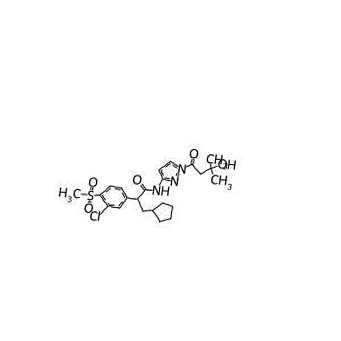 CC(C)(O)CC(=O)n1ccc(NC(=O)C(CC2CCCC2)c2ccc(S(C)(=O)=O)c(Cl)c2)n1